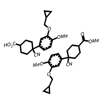 COC(=O)C1CCC(C#N)(c2ccc(OC)c(OCC3CC3)c2)CC1.COc1ccc(C2(C#N)CCC(C(=O)O)CC2)cc1OCC1CC1